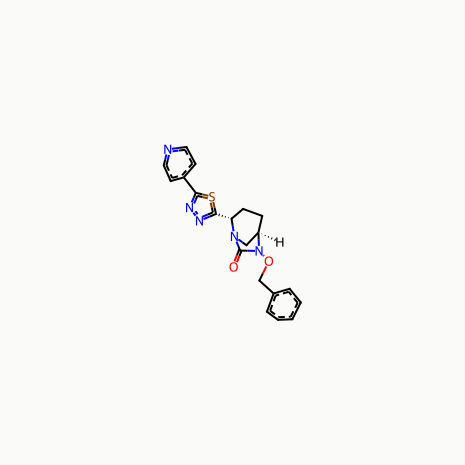 O=C1N2C[C@@H](CC[C@H]2c2nnc(-c3ccncc3)s2)N1OCc1ccccc1